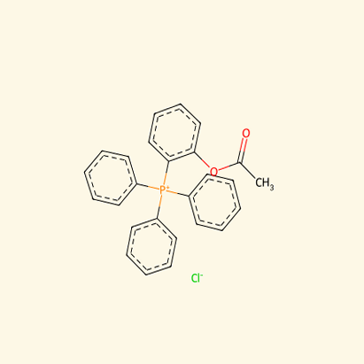 CC(=O)Oc1ccccc1[P+](c1ccccc1)(c1ccccc1)c1ccccc1.[Cl-]